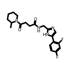 CC1CCCCN1C(=O)CCC(=O)NCc1ncc(-c2ccc(F)cc2F)[nH]1